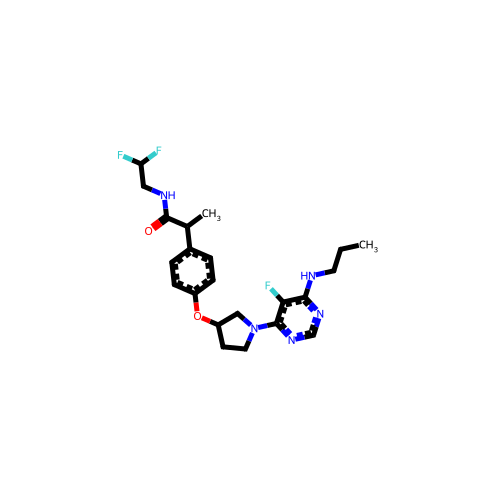 CCCNc1ncnc(N2CCC(Oc3ccc(C(C)C(=O)NCC(F)F)cc3)C2)c1F